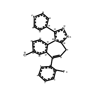 Fc1ccccc1C1=CCc2nnc(-c3ccncc3)n2-c2ccc(Cl)cc21